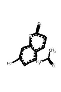 CC(C)=O.O=c1ccc2ccc(O)cc2o1